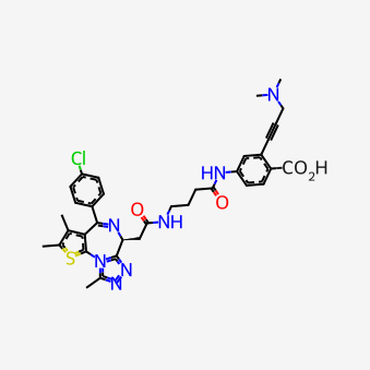 Cc1sc2c(c1C)C(c1ccc(Cl)cc1)=N[C@@H](CC(=O)NCCCC(=O)Nc1ccc(C(=O)O)c(C#CCN(C)C)c1)c1nnc(C)n1-2